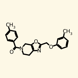 Cc1ccc(C(=O)N2CCc3nc(COc4cccc(C)c4)oc3C2)cc1